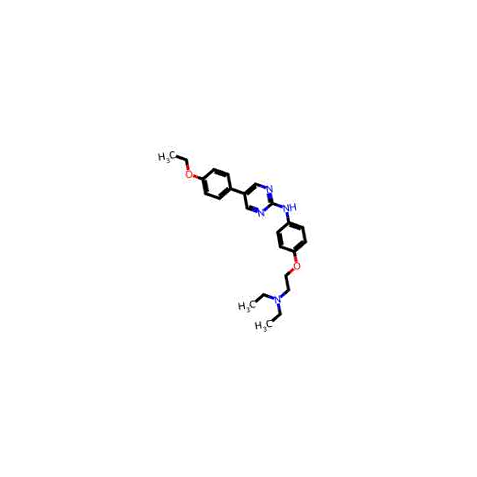 CCOc1ccc(-c2cnc(Nc3ccc(OCCN(CC)CC)cc3)nc2)cc1